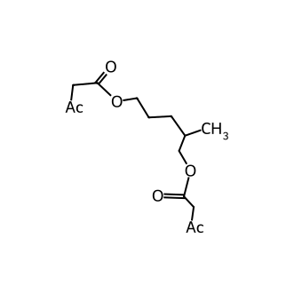 CC(=O)CC(=O)OCCCC(C)COC(=O)CC(C)=O